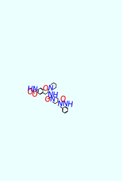 O=C(NC(Cc1ccc2[nH]c(=O)oc2c1)C(=O)N1CCCCC1)N1CCC(N2Cc3ccccc3NC2=O)CC1